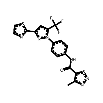 Cc1nnsc1C(=O)Nc1ccc(-n2nc(-c3nccs3)cc2C(F)(F)F)cc1